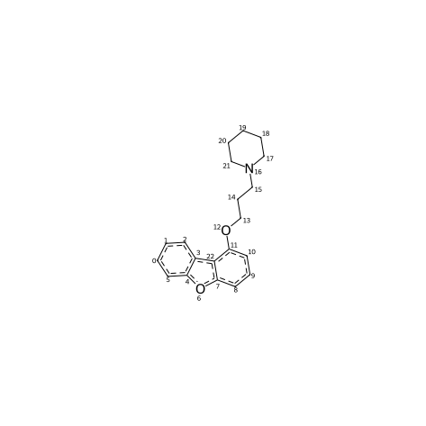 c1ccc2c(c1)oc1cccc(OCCCN3CCCCC3)c12